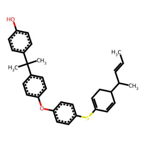 CC=CC(C)C1C=CC(Sc2ccc(Oc3ccc(C(C)(C)c4ccc(O)cc4)cc3)cc2)=CC1